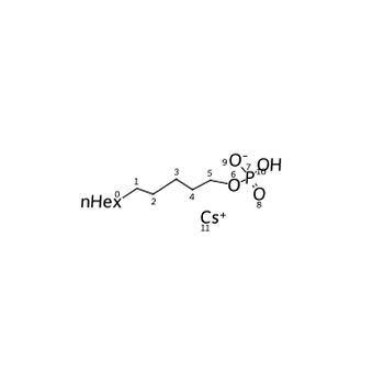 CCCCCCCCCCCOP(=O)([O-])O.[Cs+]